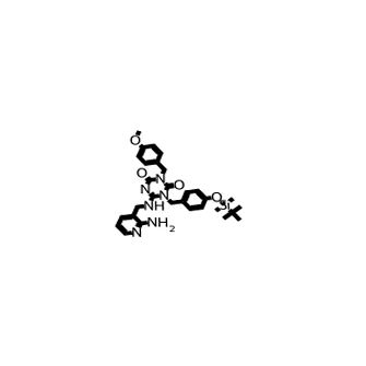 COc1ccc(Cn2c(=O)nc(NCc3cccnc3N)n(Cc3ccc(O[Si](C)(C)C(C)(C)C)cc3)c2=O)cc1